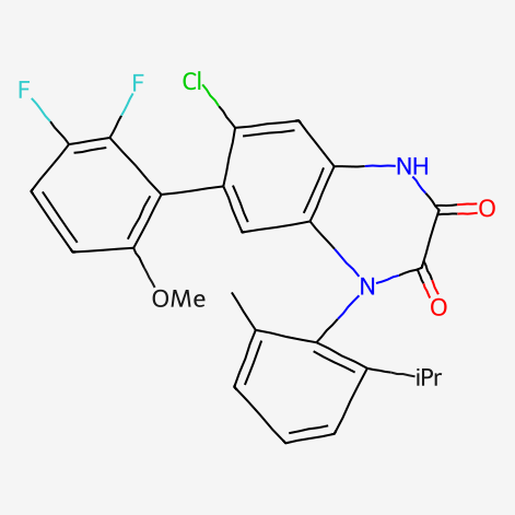 COc1ccc(F)c(F)c1-c1cc2c(cc1Cl)[nH]c(=O)c(=O)n2-c1c(C)cccc1C(C)C